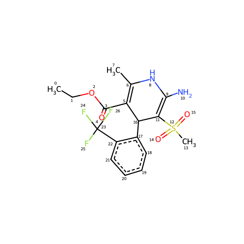 CCOC(=O)C1=C(C)NC(N)=C(S(C)(=O)=O)C1c1ccccc1C(F)(F)F